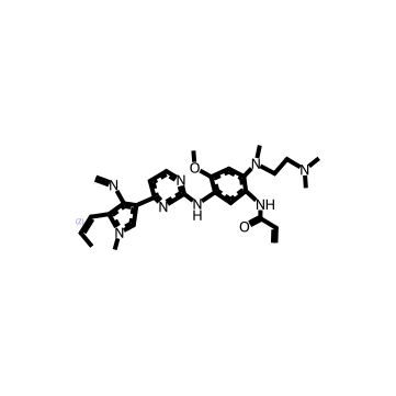 C=CC(=O)Nc1cc(Nc2nccc(-c3cn(C)c(/C=C\C)c3N=C)n2)c(OC)cc1N(C)CCN(C)C